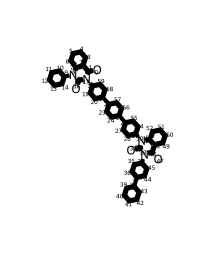 O=c1c2ccccc2n(-c2ccccc2)c(=O)n1-c1ccc(-c2ccc(-c3ccc(-n4c(=O)n(-c5ccc(-c6ccccc6)cc5)c(=O)c5ccccc54)cc3)cc2)cc1